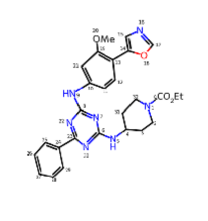 CCOC(=O)N1CCC(Nc2nc(Nc3ccc(-c4cnco4)c(OC)c3)nc(-c3ccccc3)n2)CC1